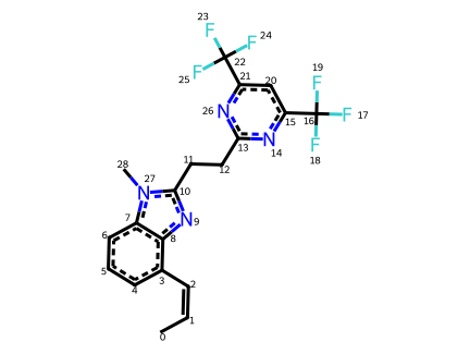 C/C=C\c1cccc2c1nc(CCc1nc(C(F)(F)F)cc(C(F)(F)F)n1)n2C